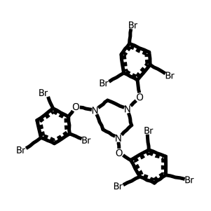 Brc1cc(Br)c(ON2CN(Oc3c(Br)cc(Br)cc3Br)CN(Oc3c(Br)cc(Br)cc3Br)C2)c(Br)c1